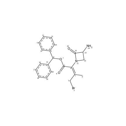 CC(CBr)=C(C(=O)OC(c1ccccc1)c1ccccc1)N1CC(N)C1=O